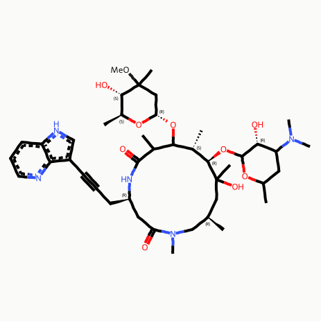 COC1(C)C[C@H](OC2C(C)C(=O)N[C@H](CC#Cc3c[nH]c4cccnc34)CC(=O)N(C)C[C@H](C)CC(C)(O)[C@H](OC3OC(C)CC(N(C)C)[C@H]3O)[C@H]2C)O[C@@H](C)[C@@H]1O